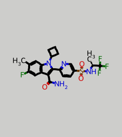 Cc1cc2c(cc1F)c(C(N)=O)c(-c1ccc(S(=O)(=O)N[C@@H](C)C(F)(F)F)cn1)n2C1CCC1